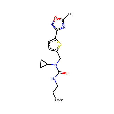 COCCNC(=O)N(Cc1ccc(-c2noc(C(F)(F)F)n2)s1)C1CC1